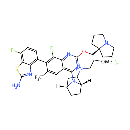 COCCNC1C[C@H]2CC[C@@H]1N2c1nc(OC[C@@]23CCCN2C[C@H](F)C3)nc2c(F)c(-c3ccc(F)c4sc(N)nc34)c(C(F)(F)F)cc12